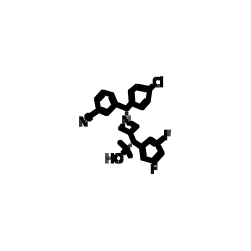 CC(C)(O)[C@@H](c1cc(F)cc(F)c1)C1CN([C@@H](c2ccc(Cl)cc2)c2cccc(C#N)c2)C1